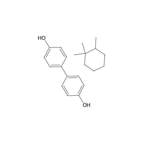 CC1CCCCC1(C)C.Oc1ccc(-c2ccc(O)cc2)cc1